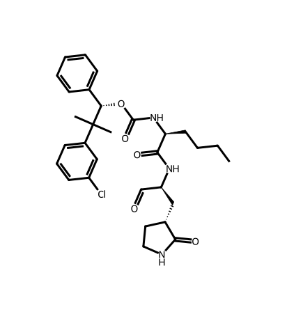 CCCC[C@H](NC(=O)O[C@@H](c1ccccc1)C(C)(C)c1cccc(Cl)c1)C(=O)N[C@H](C=O)C[C@H]1CCNC1=O